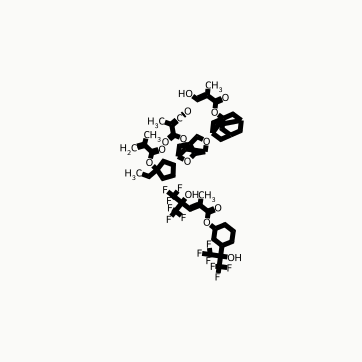 C=C(C)C(=O)OC1(CC)CCCC1.CC(=C=O)C(=O)OC1C2CC3COC1C3O2.CC(=CC(O)(C(F)(F)F)C(F)(F)F)C(=O)OC1CCCC(C(O)(C(F)(F)F)C(F)(F)F)C1.CC(=CO)C(=O)OC12CC3CC(CC(C3)C1)C2